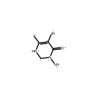 CCCN1CNC(C)=C(C(C)C)C1=O